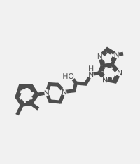 Cc1cccc(N2CCN(CC(O)CNc3ncnc4c3ncn4C)CC2)c1C